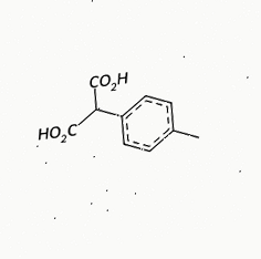 Cc1ccc(C(C(=O)O)C(=O)O)cc1